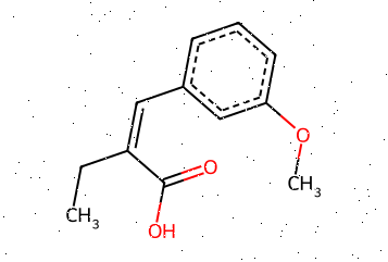 CC/C(=C/c1cccc(OC)c1)C(=O)O